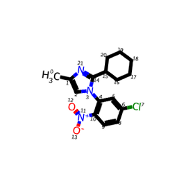 Cc1cn(-c2cc(Cl)ccc2[N+](=O)[O-])c(C2CCCCC2)n1